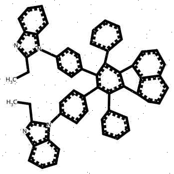 CCc1nc2ccccc2n1-c1ccc(-c2c(-c3ccc(-n4c(CC)nc5ccccc54)cc3)c(-c3ccccc3)c3c(c2-c2ccccc2)-c2cccc4cccc-3c24)cc1